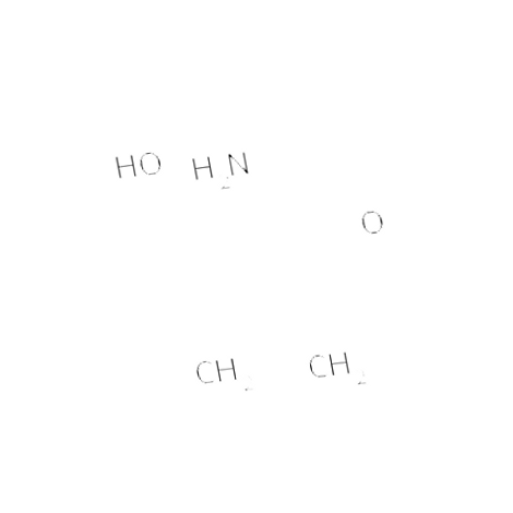 C=CC(N)=O.C=CCO